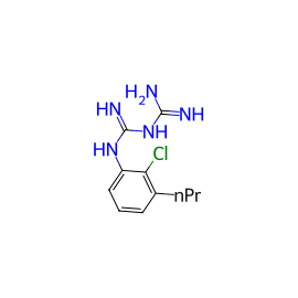 CCCc1cccc(NC(=N)NC(=N)N)c1Cl